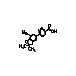 CC1(C)Cc2cc(-c3ccc(C(=O)O)cn3)cc(C#N)c2O1